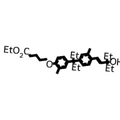 CCOC(=O)CCCCOc1ccc(C(CC)(CC)c2ccc(C=CC(O)(CC)CC)c(C)c2)cc1C